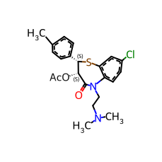 CC(=O)O[C@H]1C(=O)N(CCN(C)C)c2ccc(Cl)cc2S[C@H]1c1ccc(C)cc1